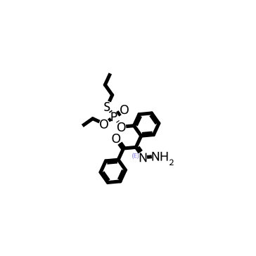 CCCSP(=O)(OCC)Oc1ccccc1/C(=N\N)C(=O)c1ccccc1